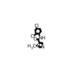 Cn1cncc1C(=O)Nc1ccc(Cl)cc1Cl